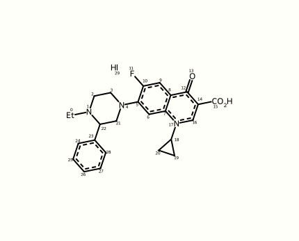 CCN1CCN(c2cc3c(cc2F)c(=O)c(C(=O)O)cn3C2CC2)CC1c1ccccc1.I